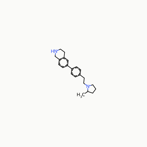 CC1CCCN1CCc1ccc(-c2ccc3c(c2)CCNC3)cc1